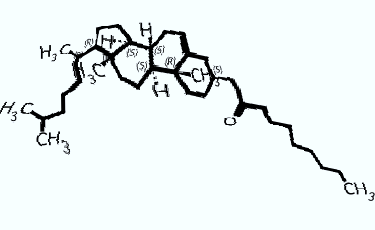 CCCCCCCCC(=O)C[C@H]1CC[C@@]2(C)C(=CC[C@H]3[C@@H]4CC[C@H]([C@H](C)CCCC(C)C)[C@@]4(C)CC[C@@H]32)C1